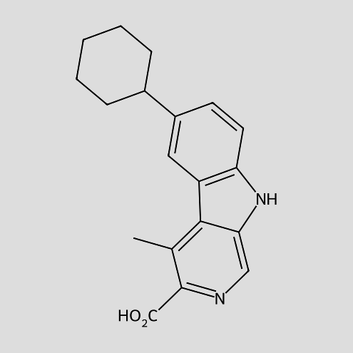 Cc1c(C(=O)O)ncc2[nH]c3ccc(C4CCCCC4)cc3c12